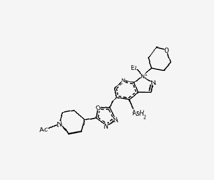 CC[N+]1(C2CCOCC2)N=Cc2c1ncc(-c1nnc(C3CCN(C(C)=O)CC3)o1)c2[AsH2]